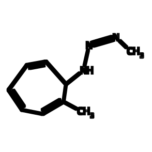 C/N=N\NC1C=CC=CC=C1C